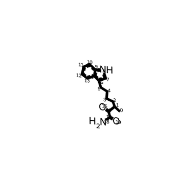 CC(CCCCc1c[nH]c2ccccc12)C(=O)C(N)=O